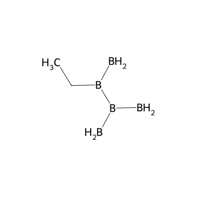 BB(B)B(B)CC